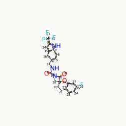 O=C(NCc1ccc2[nH]c(C(F)(F)F)cc2c1)N1CC2(CCc3ccc(F)cc3O2)C1=O